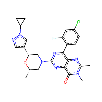 Cc1nc2c(-c3ccc(Cl)cc3F)nc(N3C[C@@H](c4cnn(C5CC5)c4)O[C@@H](C)C3)nc2c(=O)n1C